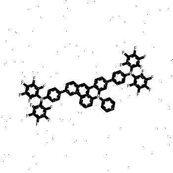 Fc1c(F)c(F)c(B(c2ccc(-c3ccc4c(c3)N(c3ccccc3)c3cccc5c3c-4cc3ccc(-c4ccc(B(c6c(F)c(F)c(F)c(F)c6F)c6c(F)c(F)c(F)c(F)c6F)cc4)cc35)cc2)c2c(F)c(F)c(F)c(F)c2F)c(F)c1F